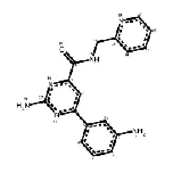 Nc1cccc(-c2cc(C(=O)NCc3ccccn3)nc(N)n2)c1